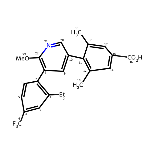 CCc1cc(C(F)(F)F)ccc1-c1cc(-c2c(C)cc(C(=O)O)cc2C)cnc1OC